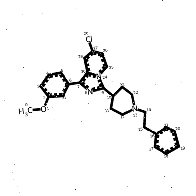 COc1cccc(-c2nc(C3CCN(CCc4ccccc4)CC3)n3ccc(Cl)cc23)c1